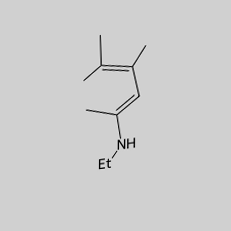 CCN/C(C)=C/C(C)=C(C)C